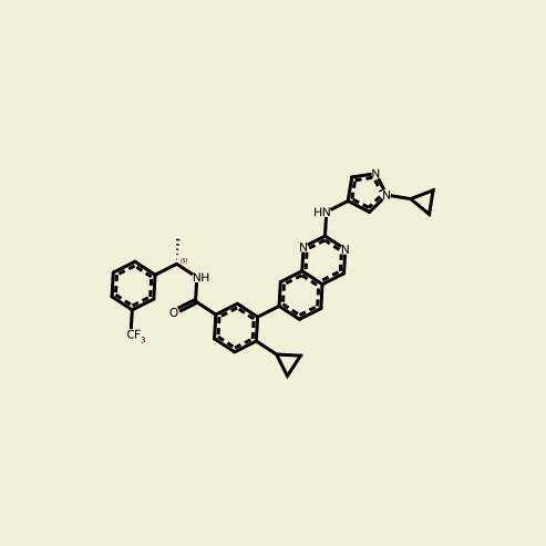 C[C@H](NC(=O)c1ccc(C2CC2)c(-c2ccc3cnc(Nc4cnn(C5CC5)c4)nc3c2)c1)c1cccc(C(F)(F)F)c1